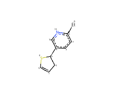 CCc1ccc(C2CC=CS2)cn1